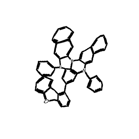 c1ccc(N2c3cc4ccccc4cc3B3c4cc5ccccc5cc4N(c4ccccc4)c4cc(-c5cccc6oc7ccccc7c56)cc2c43)cc1